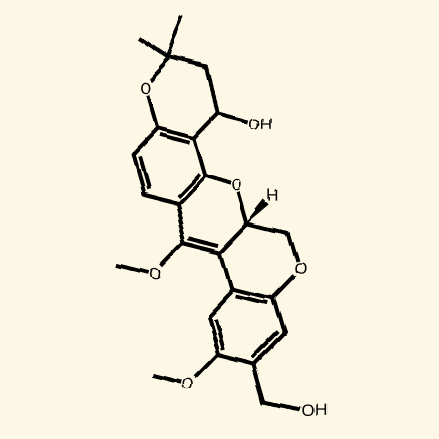 COC1=C2c3cc(OC)c(CO)cc3OC[C@H]2Oc2c1ccc1c2C(O)CC(C)(C)O1